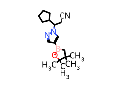 CC1(C)CB(c2cnn(C(CC#N)C3CCCC3)c2)OC1(C)C